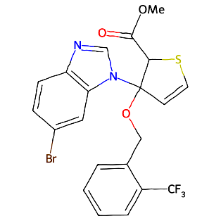 COC(=O)C1SC=CC1(OCc1ccccc1C(F)(F)F)n1cnc2ccc(Br)cc21